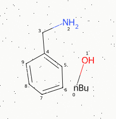 CCCCO.NCc1ccccc1